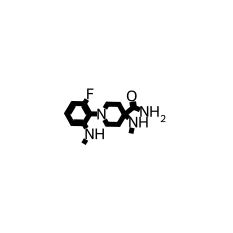 CNc1cccc(F)c1N1CCC(NC)(C(N)=O)CC1